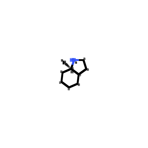 C1CC[C@H]2NCCC2C1